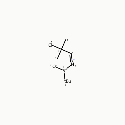 CC(C)(Cl)/C=N\[S+]([O-])C(C)(C)C